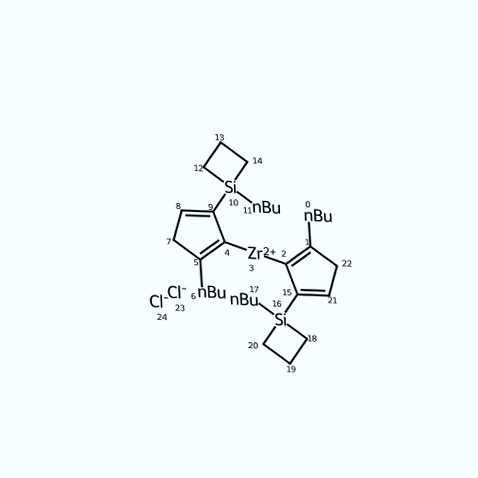 CCCCC1=[C]([Zr+2][C]2=C(CCCC)CC=C2[Si]2(CCCC)CCC2)C([Si]2(CCCC)CCC2)=CC1.[Cl-].[Cl-]